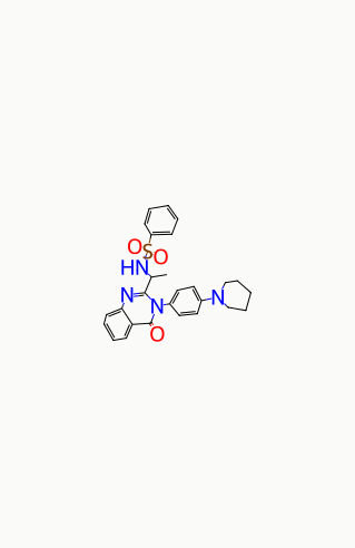 CC(NS(=O)(=O)c1ccccc1)c1nc2ccccc2c(=O)n1-c1ccc(N2CCCCC2)cc1